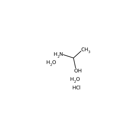 CC(N)O.Cl.O.O